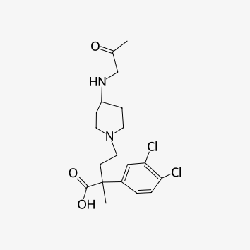 CC(=O)CNC1CCN(CCC(C)(C(=O)O)c2ccc(Cl)c(Cl)c2)CC1